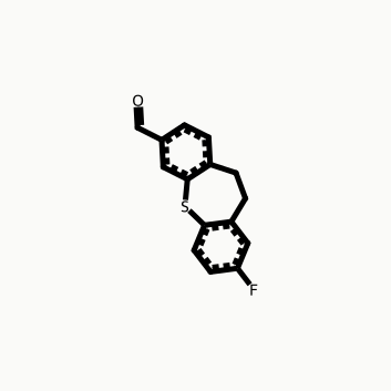 O=Cc1ccc2c(c1)Sc1ccc(F)cc1CC2